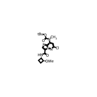 CO[C@H]1CC[C@@H]1NC(=O)c1cnc2c(N(C)C(=O)OC(C)(C)C)cc(Cl)nn12